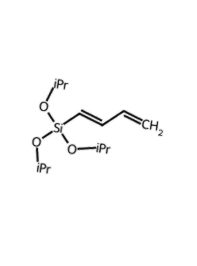 C=CC=C[Si](OC(C)C)(OC(C)C)OC(C)C